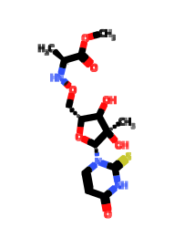 COC(=O)[C@H](C)NOC[C@H]1O[C@@H](n2ccc(=O)[nH]c2=S)[C@](C)(O)C1O